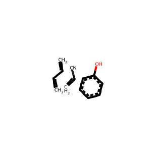 C=CC#N.C=CC=C.Oc1ccccc1